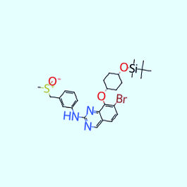 C[S+]([O-])Cc1cccc(Nc2ncc3ccc(Br)c(O[C@H]4CC[C@@H](O[Si](C)(C)C(C)(C)C)CC4)c3n2)c1